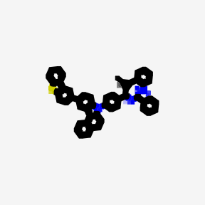 C[C@@H]1C(/C(=N\C(N)c2ccccc2)c2ccc(-n3c4ccc(-c5ccc6sc7ccccc7c6c5)cc4c4c5ccccc5ccc43)cc2)C1c1ccccc1